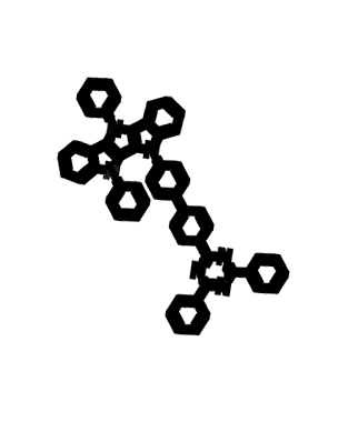 C1=CC(c2nc(-c3ccccc3)nc(-c3ccccc3)n2)CC=C1c1ccc(-n2c3ccccc3c3c2c2c(c4ccccc4n2-c2ccccc2)n3-c2ccccc2)cc1